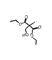 [CH2]C(CO)(C(=O)OCC)C(=O)OCC